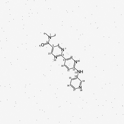 CN(C)C(=O)c1cnc(-c2ccc(Nc3cccnc3)nc2)nc1